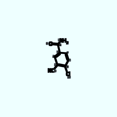 N#Cc1cc(C(N)=O)ccc1Cl